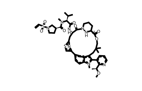 C=CS(=O)(=O)N1CC[C@H](C(=O)N(C)[C@H](C(=O)N[C@H]2Cc3nc(cs3)-c3ccc4c(c3)c(c(-c3cccnc3[C@H](C)OC)n4C)CC(C)(C)COC(=O)[C@@H]3CCCN(N3)C2=O)C(C)C)C1